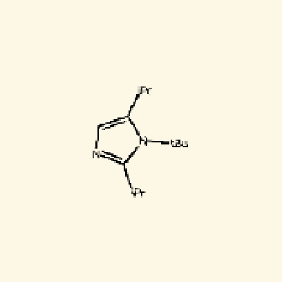 CC(C)c1cnc(C(C)C)n1C(C)(C)C